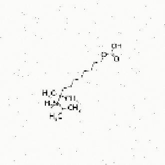 CC(C)[SiH2]C(C)(C)CCCCCCCCOC(=O)O